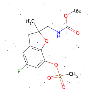 CC(C)(C)OC(=O)NCC1(C)Cc2cc(F)cc(OS(C)(=O)=O)c2O1